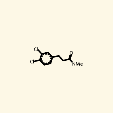 CNC(=O)CCc1ccc(Cl)c(Cl)c1